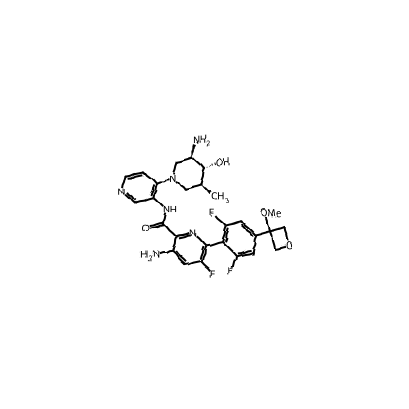 COC1(c2cc(F)c(-c3nc(C(=O)Nc4cnccc4N4C[C@@H](N)[C@H](O)[C@@H](C)C4)c(N)cc3F)c(F)c2)COC1